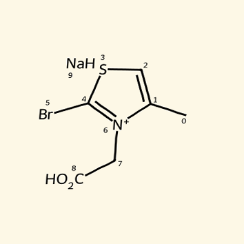 Cc1csc(Br)[n+]1CC(=O)O.[NaH]